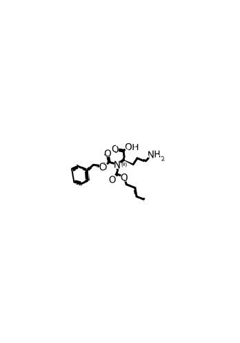 CCCCOC(=O)N(C(=O)OCc1ccccc1)[C@H](CCCN)C(=O)O